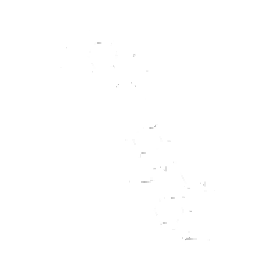 COc1cc2c(cc1OC)CN(CCc1ccc(NC(=O)c3ccc([N+](=O)[O-])cc3C(N)=O)cc1)CC2